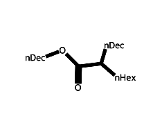 CCCCCCCCCCOC(=O)C(CCCCCC)CCCCCCCCCC